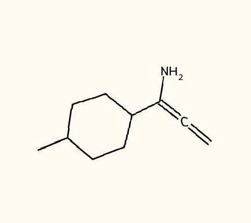 C=C=C(N)C1CCC(C)CC1